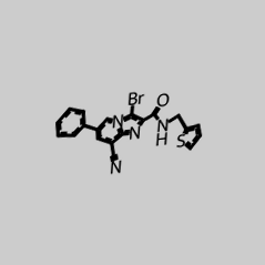 N#Cc1cc(-c2ccccc2)cn2c(Br)c(C(=O)NCc3cccs3)nc12